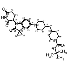 CC(C)(C)OC(=O)N1CCC(CC2CCN(c3ccc4c(c3)C3(CC3)C(=O)N4C3CCC(=O)NC3=O)CC2)CC1